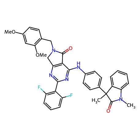 COc1ccc(CN2Cc3nc(-c4c(F)cccc4F)nc(Nc4ccc(C5(C)C(=O)N(C)c6ccccc65)cc4)c3C2=O)c(OC)c1